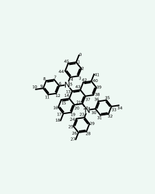 Cc1ccc(N(c2ccc(C)cc2)c2c3ccc(C)cc3c(N(c3ccc(C)cc3)c3ccc(C)cc3)c3ccc(C)cc23)cc1